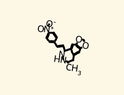 CC1Cc2cc3c(cc2C(/C=C/c2ccc([N+](=O)[O-])cc2)=NN1)OCO3